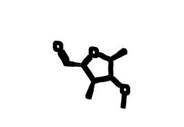 COC1[C@H](C)O[C@H](C=O)[C@@H]1C